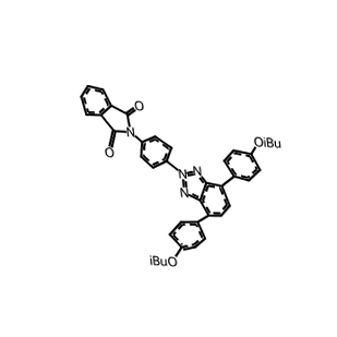 CC(C)COc1ccc(-c2ccc(-c3ccc(OCC(C)C)cc3)c3nn(-c4ccc(N5C(=O)c6ccccc6C5=O)cc4)nc23)cc1